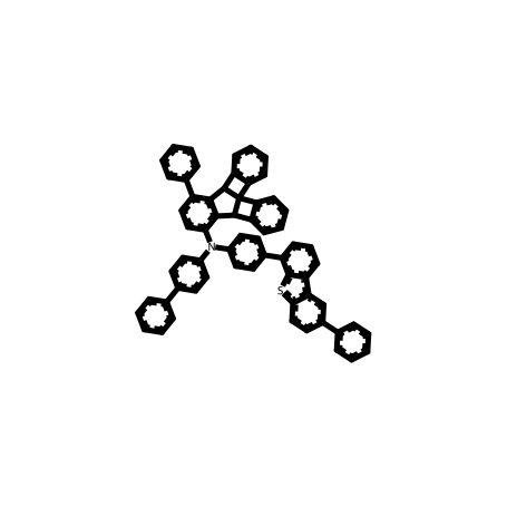 c1ccc(-c2ccc(N(c3ccc(-c4cccc5c4sc4ccc(-c6ccccc6)cc45)cc3)c3ccc(-c4ccccc4)c4c3C3c5ccccc5C35c3ccccc3C45)cc2)cc1